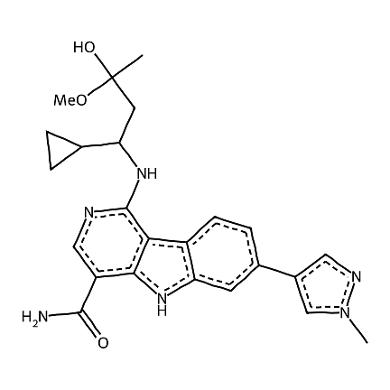 COC(C)(O)CC(Nc1ncc(C(N)=O)c2[nH]c3cc(-c4cnn(C)c4)ccc3c12)C1CC1